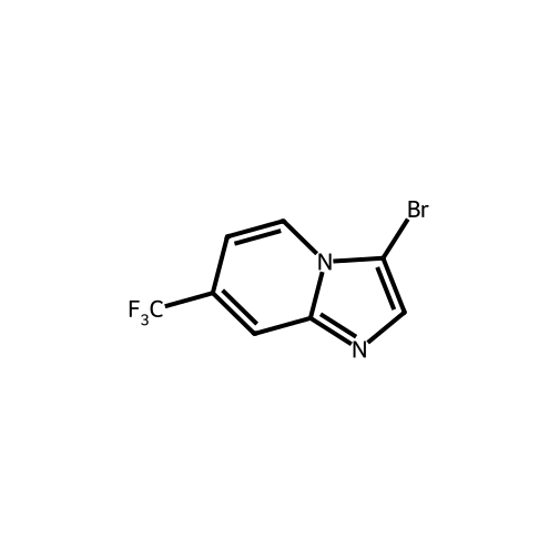 FC(F)(F)c1ccn2c(Br)cnc2c1